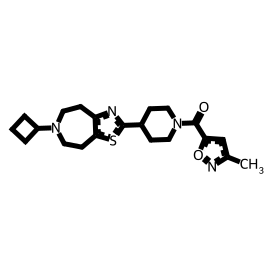 Cc1cc(C(=O)N2CCC(c3nc4c(s3)CCN(C3CCC3)CC4)CC2)on1